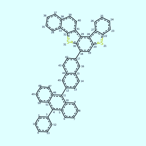 c1ccc(-c2c3ccccc3c(-c3ccc4cc(-c5cc6sc7ccccc7c6c6c5sc5c7ccccc7ccc56)ccc4c3)c3ccccc23)cc1